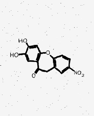 O=C1Cc2cc([N+](=O)[O-])ccc2Oc2cc(O)c(O)cc21